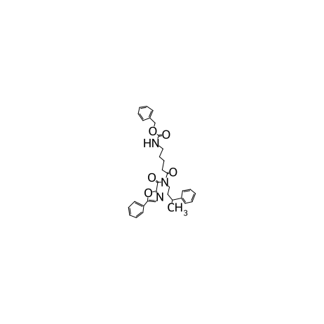 CC(CCN(C(=O)CCCCNC(=O)OCc1ccccc1)C(=O)c1ncc(-c2ccccc2)o1)c1ccccc1